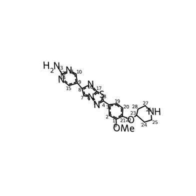 COc1cc(-c2nn3cc(-c4cnc(N)nc4)nc3s2)ccc1OC1CCNCC1